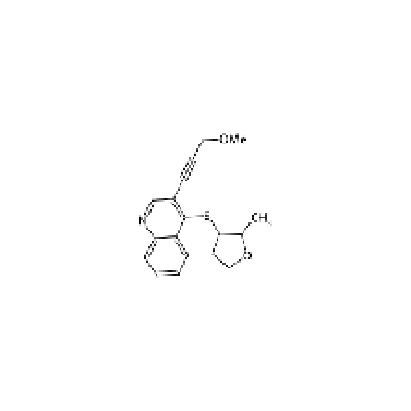 COCC#Cc1cnc2ccccc2c1SC1CCOC1C